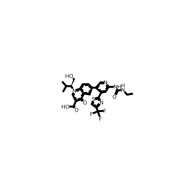 CCNC(=O)Nc1cc(-c2nc(C(F)(F)F)cs2)c(-c2ccc3c(c2)c(=O)c(C(=O)O)cn3[C@H](CO)C(C)C)cn1